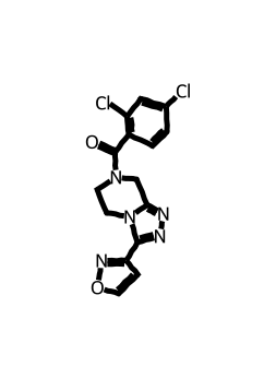 O=C(c1ccc(Cl)cc1Cl)N1CCn2c(nnc2-c2ccon2)C1